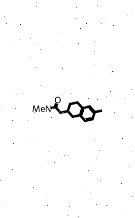 CNC(=O)CC1CCc2cc(C)ccc2C1